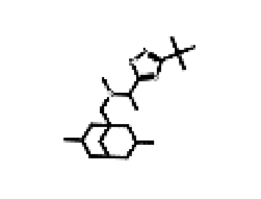 CC1CC2CC(C)CC(CN(C)C(C)c3nc(C(C)(C)C)no3)(C1)C2